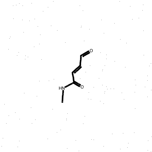 CNC(=O)/C=C/C=O